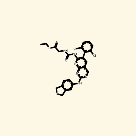 CCOC(=O)CNC(=O)Nc1nc2nc(Nc3ccc4c(c3)COC4)ncc2cc1-c1c(Cl)cccc1Cl